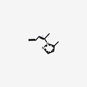 C=C/C=C(/C)n1nccc1C